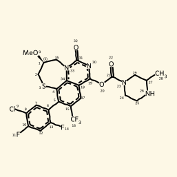 CO[C@@H]1CSc2c(-c3cc(Cl)c(F)cc3F)c(C(F)(F)F)cc3c(OC(=O)N4CCNC(C)C4)nc(=O)n(c23)C1